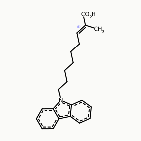 C/C(=C\CCCCCCn1c2ccccc2c2ccccc21)C(=O)O